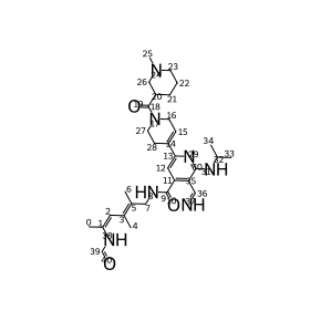 C/C(=C/C(C)=C(\C)CNC(=O)c1cc(C2=CCN(C(=O)C3CCCN(C)C3)CC2)nc(NC(C)C)c1C=N)NC=O